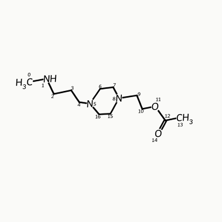 CNCCCN1CCN(CCOC(C)=O)CC1